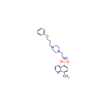 Cc1ccc(S(=O)(=O)NCCN2CCN(CCCOc3ccccc3)CC2)c2cccnc12